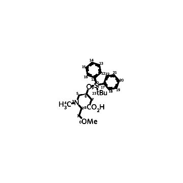 COCCN(C)C[C@H](CC(=O)O)O[Si](c1ccccc1)(c1ccccc1)C(C)(C)C